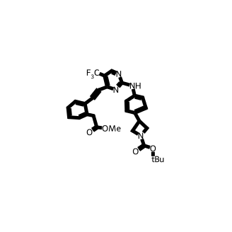 COC(=O)Cc1ccccc1C#Cc1nc(Nc2ccc(C3CN(C(=O)OC(C)(C)C)C3)cc2)ncc1C(F)(F)F